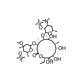 CC[C@H]1OC(=O)[C@H](C)[C@@H](OC2C[C@@](C)(OC)[C@@H](O[Si](C)(C)C)[C@H](C)O2)[C@H](C)[C@@H](OC2O[C@H](C)C[C@H](N(C)C)[C@H]2O[Si](C)(C)C)[C@@](C)(O)C[C@@H](C)[C@H](O)[C@H](C)[C@@H](O)[C@]1(C)O